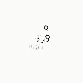 CC(C)(C)[Si](C)(C)OC[C@@H](CCn1ccc2ccc(OCc3ccccc3)cc21)n1cnc(C(N)=O)c1